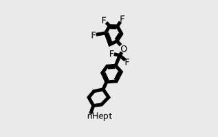 CCCCCCCC1CCC(c2ccc(C(F)(F)Oc3cc(F)c(F)c(F)c3)cc2)CC1